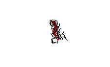 C[C@H]1CC[C@@]2(OC1)OC1CC3[C@@H]4CC[C@@H]5C[C@H](NC(=O)Nc6ccc(Cl)cc6)CC[C@]5(C)C4CC[C@]3(C)C1[C@@H]2C